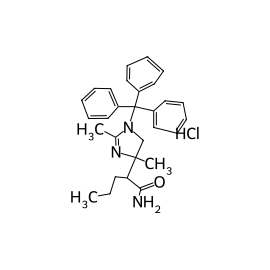 CCCC(C(N)=O)C1(C)CN(C(c2ccccc2)(c2ccccc2)c2ccccc2)C(C)=N1.Cl